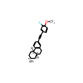 CCC[C@@H]1CC[C@@H]2c3ccc(C#Cc4ccc(OC(F)(F)F)c(F)c4)cc3CC[C@@H]2C1